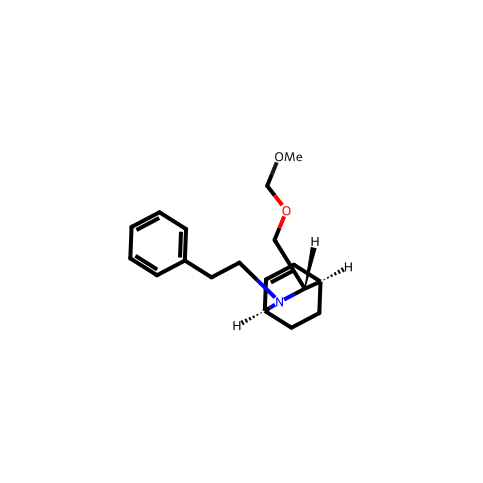 COCOC[C@@H]1[C@H]2C=C[C@H](CC2)N1CCc1ccccc1